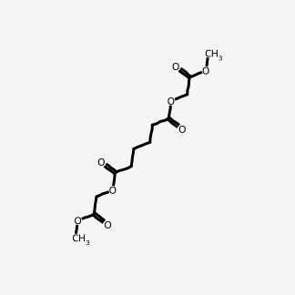 COC(=O)COC(=O)CCCCC(=O)OCC(=O)OC